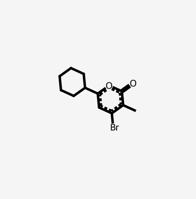 Cc1c(Br)cc(C2CCCCC2)oc1=O